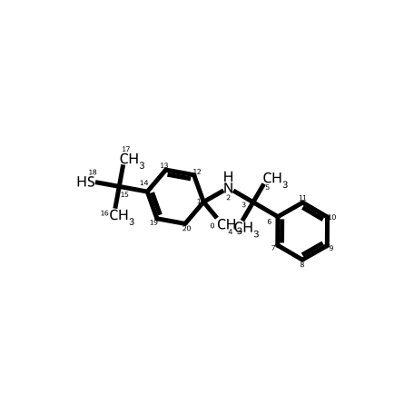 CC1(NC(C)(C)c2ccccc2)C=CC(C(C)(C)S)=CC1